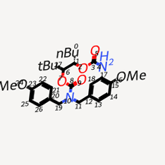 CCCC[C@H](OC(N)=O)C(OC(=O)N(Cc1ccc(OC)cc1)Cc1ccc(OC)cc1)C(C)(C)C